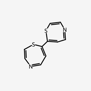 C1=CSC(C2=CC=NC=CS2)=CC=N1